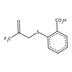 O=C(O)c1ccccc1SCC(=O)C(F)(F)F